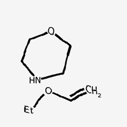 C1COCCN1.C=COCC